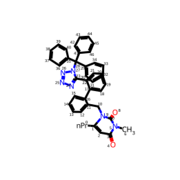 CCCc1cc(=O)n(C)c(=O)n1Cc1ccccc1-c1ccccc1-c1nnnn1C(c1ccccc1)(c1ccccc1)c1ccccc1